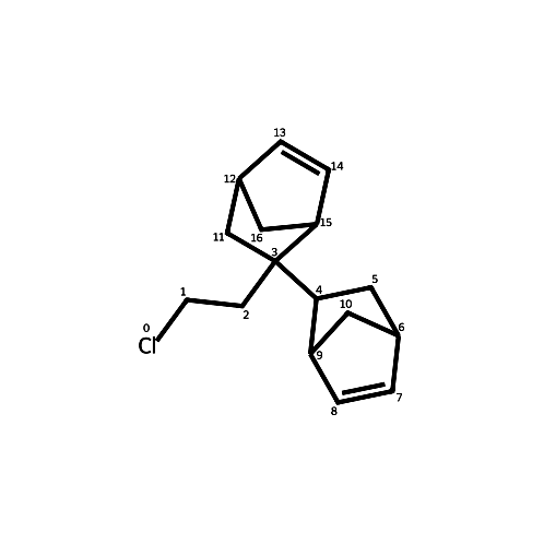 ClCCC1(C2CC3C=CC2C3)CC2C=CC1C2